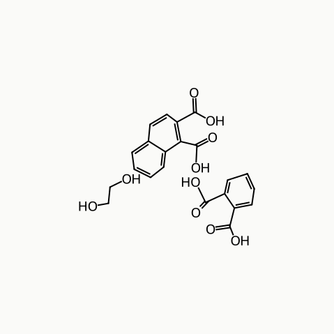 O=C(O)c1ccc2ccccc2c1C(=O)O.O=C(O)c1ccccc1C(=O)O.OCCO